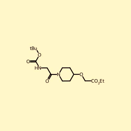 CCOC(=O)COC1CCN(C(=O)CNC(=O)OC(C)(C)C)CC1